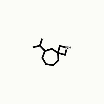 CC(C)C1CCCCC2(CNC2)C1